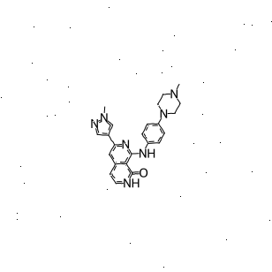 CN1CCN(c2ccc(Nc3nc(-c4cnn(C)c4)cc4cc[nH]c(=O)c34)cc2)CC1